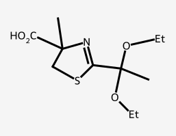 CCOC(C)(OCC)C1=NC(C)(C(=O)O)CS1